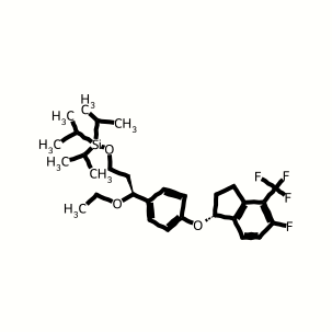 CCO[C@@H](CCO[Si](C(C)C)(C(C)C)C(C)C)c1ccc(O[C@@H]2CCc3c2ccc(F)c3C(F)(F)F)cc1